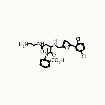 NCCNC(=O)CC(NCc1ccc(-c2cc(Cl)ccc2Cl)o1)C(=O)Nc1ccccc1C(=O)O